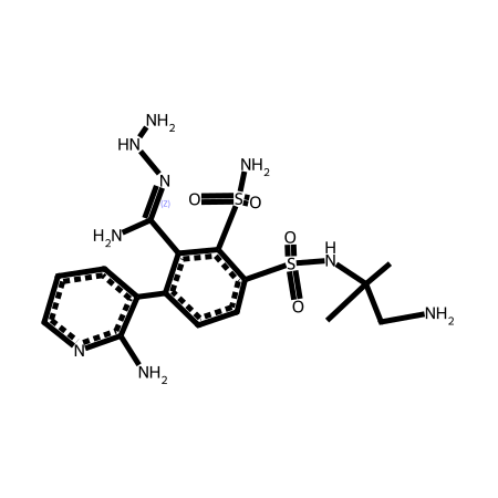 CC(C)(CN)NS(=O)(=O)c1ccc(-c2cccnc2N)c(/C(N)=N/NN)c1S(N)(=O)=O